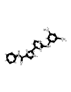 Cc1cc(C)cc(Nc2nccc(-c3ncc(C(=O)Nc4ccccc4)s3)n2)c1